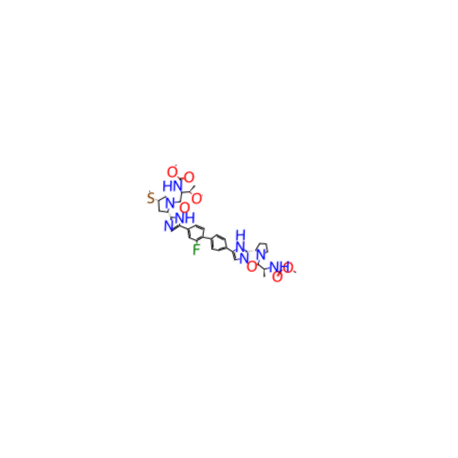 COC(=O)N[C@@H](C)C(=O)N1CCC[C@H]1c1ncc(-c2ccc(-c3ccc(-c4cnc([C@@H]5C[C@H](SC)CN5C(=O)[C@@H](NC(=O)OC)[C@@H](C)OC)[nH]4)cc3F)cc2)[nH]1